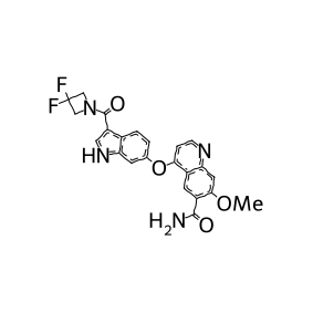 COc1cc2nccc(Oc3ccc4c(C(=O)N5CC(F)(F)C5)c[nH]c4c3)c2cc1C(N)=O